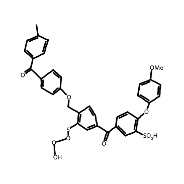 COc1ccc(Oc2ccc(C(=O)c3ccc(COc4ccc(C(=O)c5ccc(C)cc5)cc4)c(SOOO)c3)cc2S(=O)(=O)O)cc1